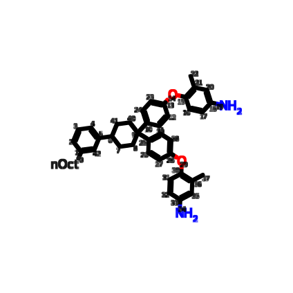 CCCCCCCCc1cccc(C2CCC(c3ccc(Oc4ccc(N)cc4C)cc3)(c3ccc(Oc4ccc(N)cc4C)cc3)CC2)c1